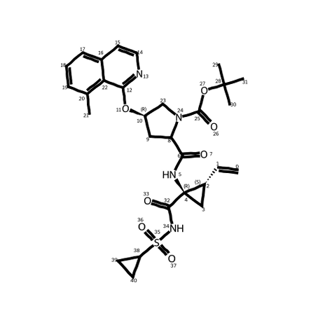 C=C[C@@H]1C[C@]1(NC(=O)C1C[C@@H](Oc2nccc3cccc(C)c23)CN1C(=O)OC(C)(C)C)C(=O)NS(=O)(=O)C1CC1